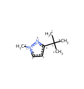 [CH2]n1ccc(C(C)(C)C)n1